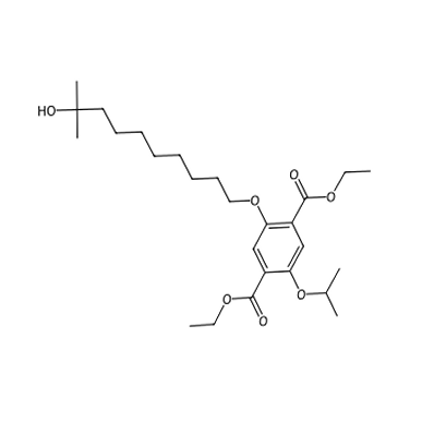 CCOC(=O)c1cc(OC(C)C)c(C(=O)OCC)cc1OCCCCCCCCC(C)(C)O